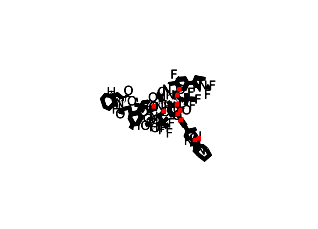 COC(=O)N[C@H](C(=O)N[C@@H](Cc1ccc(C#Cc2cnc(N3CC4CCC(C3)N4C3COC3)nc2)cc1)[C@H](CN(Cc1c(F)cc(-c2ccn(C(F)F)n2)cc1F)NC(=O)[C@@H](NC(=O)OC)C(C)(C)C(F)(F)F)OC(=O)CC(C)(C)c1c(CC(=O)N2[C@H](C(=O)OC)C[C@@H]3CCCC[C@@H]32)cc(C)cc1OP(=O)(O)O)C(C)(C)C(F)(F)F